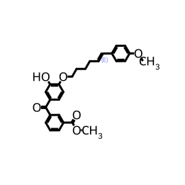 COC(=O)c1cccc(C(=O)c2ccc(OCCCC/C=C/c3ccc(OC)cc3)c(O)c2)c1